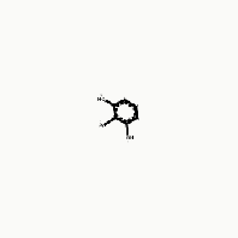 CC(C)c1c(O)[c]ccc1O